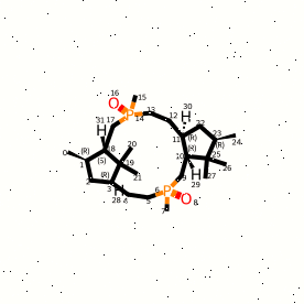 C[C@@H]1C[C@@H]2CCP(C)(=O)C[C@@H]3[C@@H](CCP(C)(=O)C[C@@H]1C2(C)C)C[C@@H](C)C3(C)C